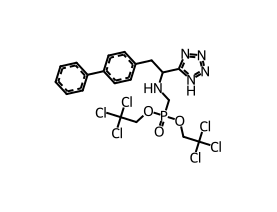 O=P(CNC(Cc1ccc(-c2ccccc2)cc1)c1nnn[nH]1)(OCC(Cl)(Cl)Cl)OCC(Cl)(Cl)Cl